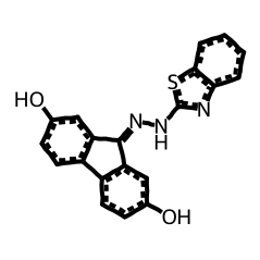 Oc1ccc2c(c1)C(=NNc1nc3ccccc3s1)c1cc(O)ccc1-2